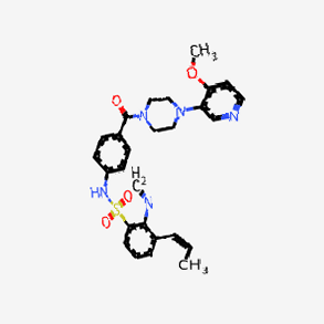 C=Nc1c(/C=C\C)cccc1S(=O)(=O)Nc1ccc(C(=O)N2CCN(c3cnccc3OC)CC2)cc1